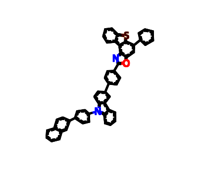 c1ccc(-c2cc3oc(-c4ccc(-c5ccc6c(c5)c5ccccc5n6-c5ccc(-c6ccc7ccccc7c6)cc5)cc4)nc3c3c2sc2ccccc23)cc1